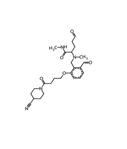 CNC(=O)C(CCC=O)N(C)Cc1c(C=O)cccc1OCCCC(=O)N1CCC(C#N)CC1